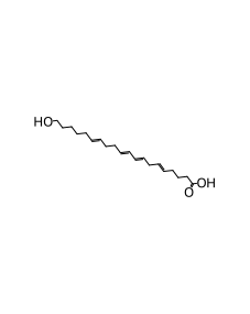 O=C(O)CCCC=CCC=CC=CCCC=CCCCCCO